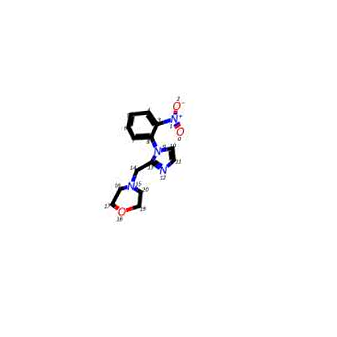 O=[N+]([O-])c1ccccc1-n1ccnc1CN1CCOCC1